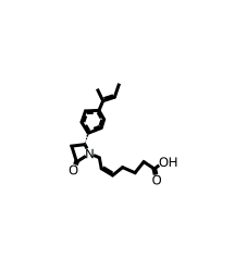 C/C=C(\C)c1ccc([C@H]2CC(=O)N2C/C=C\CCCC(=O)O)cc1